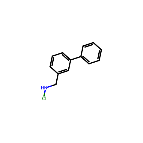 ClNCc1cccc(-c2ccccc2)c1